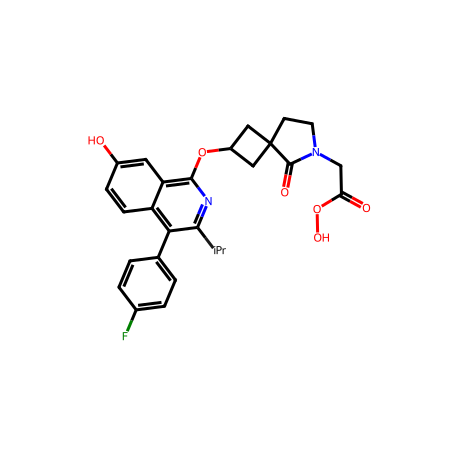 CC(C)c1nc(OC2CC3(CCN(CC(=O)OO)C3=O)C2)c2cc(O)ccc2c1-c1ccc(F)cc1